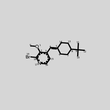 COc1c(C=C2CCC(C(C)(C)C)CC2)ccnc1Br